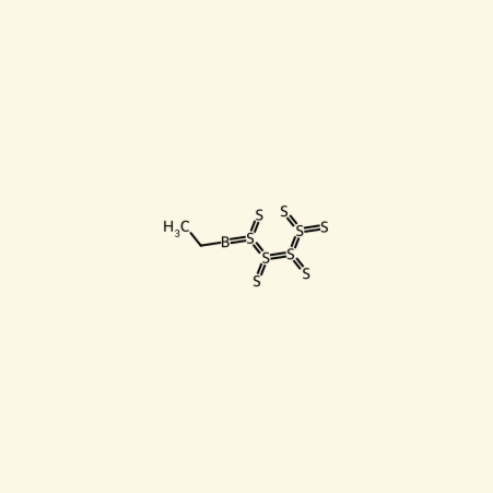 CCB=S(=S)=S(=S)=S(=S)=S(=S)=S